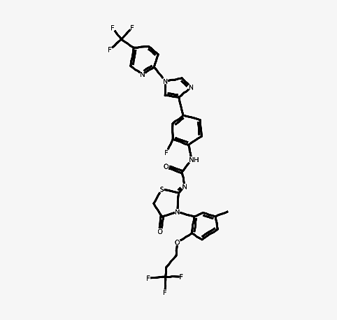 Cc1ccc(OCCC(F)(F)F)c(N2C(=O)CSC2=NC(=O)Nc2ccc(-c3cn(-c4ccc(C(F)(F)F)cn4)cn3)cc2F)c1